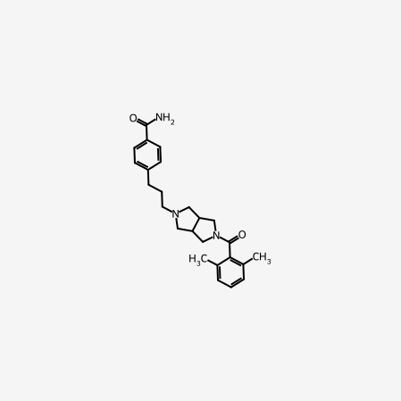 Cc1cccc(C)c1C(=O)N1CC2CN(CCCc3ccc(C(N)=O)cc3)CC2C1